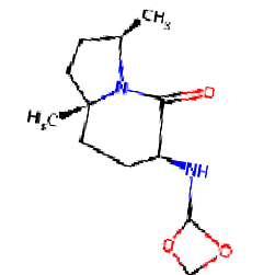 C[C@@H]1CC[C@@]2(C)CC[C@H](NC3OCO3)C(=O)N12